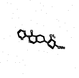 COc1ccc(C2CCc3c(cnn(-c4ncccn4)c3=O)C2)c(C)c1